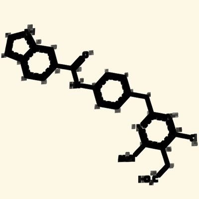 CNc1nc(Cc2ccc(NC(=O)c3ccc4cc[nH]c4c3)cc2)nc(Cl)c1CC(=O)O